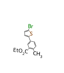 CCOC(=O)c1cc(-c2ccc(Br)s2)ccc1C